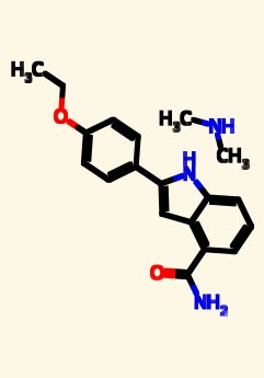 CCOc1ccc(-c2cc3c(C(N)=O)cccc3[nH]2)cc1.CNC